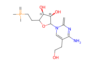 C=C1N=C(N)C(CCO)=CN1C1OC(CCP(=C)(C)C)[C@@H](O)[C@H]1O